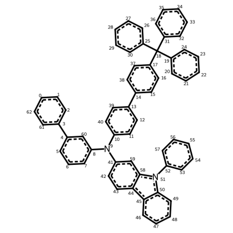 c1ccc(-c2cccc(N(c3ccc(-c4ccc(C(c5ccccc5)(c5ccccc5)c5ccccc5)cc4)cc3)c3ccc4c5ccccc5n(-c5ccccc5)c4c3)c2)cc1